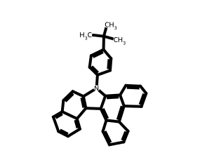 CC(C)(C)c1ccc(-n2c3ccc4ccccc4c3c3c4ccccc4c4ccccc4c32)cc1